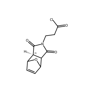 O=C(Cl)CCN1C(=O)C2C3C=CC(O3)[C@H]2C1=O